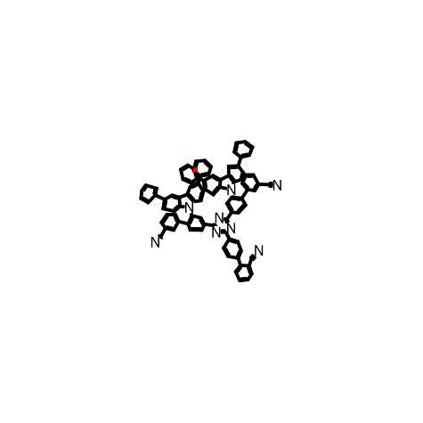 N#Cc1cccc(-c2ccc(-c3nc(-c4ccc(-c5ccccc5C#N)cc4)nc(-c4ccc(-c5cccc(C#N)c5)c(-n5c6ccc(-c7ccccc7)cc6c6cc(-c7ccccc7)ccc65)c4)n3)cc2-n2c3ccc(-c4ccccc4)cc3c3cc(-c4ccccc4)ccc32)c1